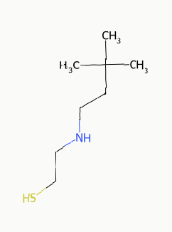 CC(C)(C)CCNCCS